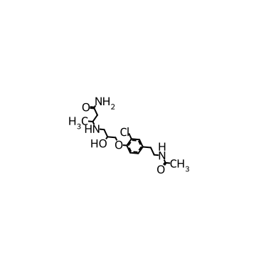 CC(=O)NCCc1ccc(OCC(O)CNC(C)CC(N)=O)c(Cl)c1